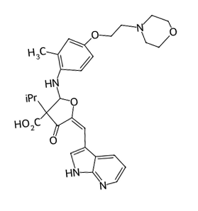 Cc1cc(OCCN2CCOCC2)ccc1NC1OC(=Cc2c[nH]c3ncccc23)C(=O)C1(C(=O)O)C(C)C